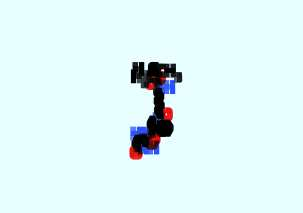 CC(C)(C)OC(=O)NCCCCCC(=O)N1CC[C@H](C(=O)N[C@@H]2CCC(=O)NC2=O)c2ccccc21